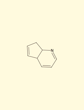 C1=CC2C=CCC2N=C1